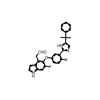 CC(C)(c1ccccc1)c1cnc(-c2cc(Oc3c(F)cc4[nH]ccc4c3CC=O)ccc2F)[nH]1